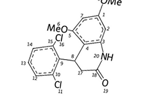 COc1cc2c(c(OC)c1)C(c1c(Cl)cccc1Cl)CC(=O)N2